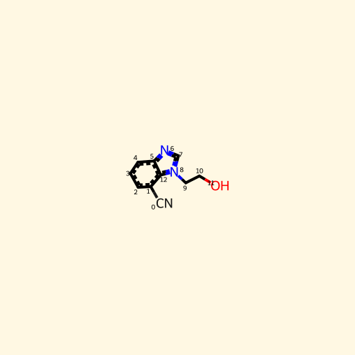 N#Cc1cccc2ncn(CCO)c12